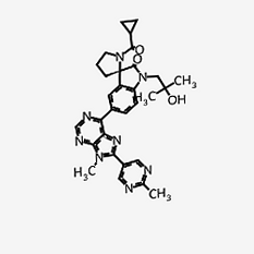 Cc1ncc(-c2nc3c(-c4ccc5c(c4)[C@@]4(CCCN4C(=O)C4CC4)C(=O)N5CC(C)(C)O)ncnc3n2C)cn1